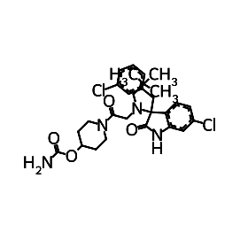 CC(C)(C)CN(CC(=O)N1CCC(OC(N)=O)CC1)C1(Cc2cccc(Cl)c2)C(=O)Nc2cc(Cl)ccc21